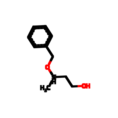 C[SiH](CCO)OCc1ccccc1